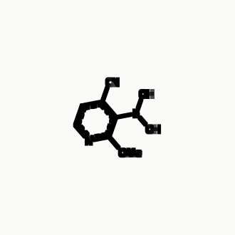 COc1nccc(C#N)c1B(O)O